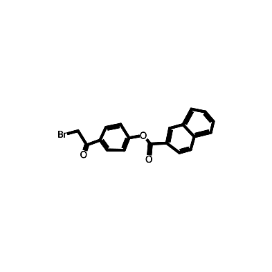 O=C(CBr)c1ccc(OC(=O)c2ccc3ccccc3c2)cc1